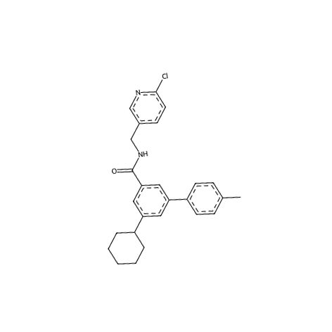 Cc1ccc(-c2cc(C(=O)NCc3ccc(Cl)nc3)cc(C3CCCCC3)c2)cc1